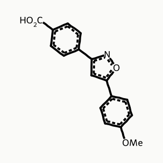 COc1ccc(-c2cc(-c3ccc(C(=O)O)cc3)no2)cc1